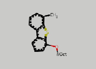 CCCCCCCCOc1cccc2c1sc1c(C)cccc12